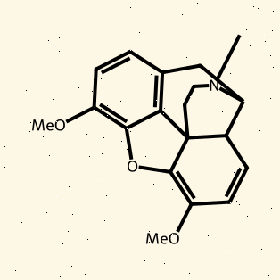 COC1=C2Oc3c(OC)ccc4c3C23CCN(C)C(C4)C3C=C1